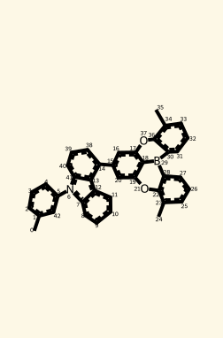 Cc1cccc(-n2c3ccccc3c3c(-c4cc5c6c(c4)Oc4c(C)cccc4B6c4cccc(C)c4O5)cccc32)c1